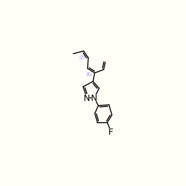 C=C/C(=C\C=C/C)c1cnn(-c2ccc(F)cc2)c1